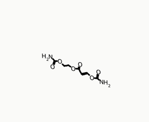 NC(=O)OC=CC(=O)OCCOC(N)=O